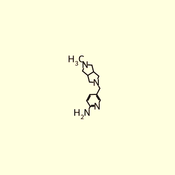 CN1CC2CN(Cc3ccc(N)nc3)CC2C1